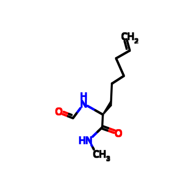 C=CCCCC[C@H](NC=O)C(=O)NC